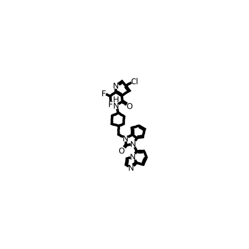 O=C(NC1CCC(Cn2c(=O)n(-c3cccc4nccn34)c3ccccc32)CC1)c1cc(Cl)cnc1C(F)F